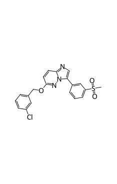 CS(=O)(=O)c1cccc(-c2cnc3ccc(OCc4cccc(Cl)c4)nn23)c1